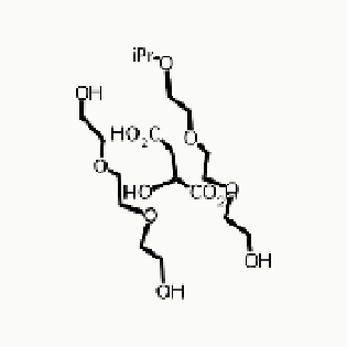 CC(C)OCCOCCOCCO.O=C(O)CC(O)C(=O)O.OCCOCCOCCO